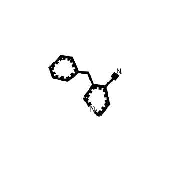 N#Cc1ccncc1Cc1ccccc1